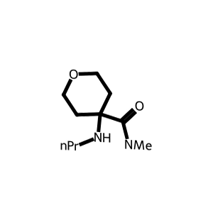 CCCNC1(C(=O)NC)CCOCC1